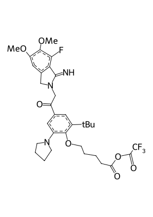 COc1cc2c(c(F)c1OC)C(=N)N(CC(=O)c1cc(N3CCCC3)c(OCCCCC(=O)OC(=O)C(F)(F)F)c(C(C)(C)C)c1)C2